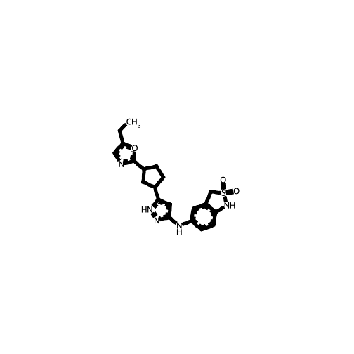 CCc1cnc(C2CCC(c3cc(Nc4ccc5c(c4)CS(=O)(=O)N5)n[nH]3)C2)o1